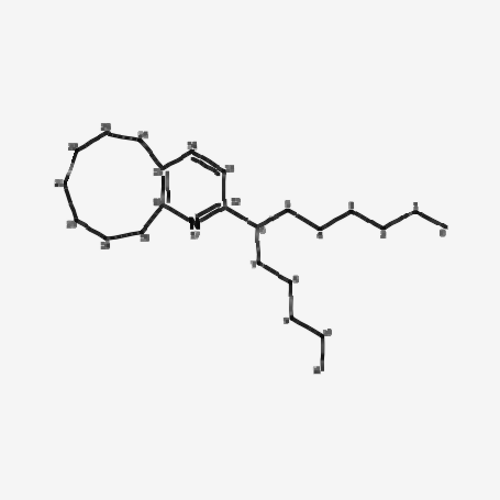 CCCCCCC(CCCCC)c1ccc2c(n1)CCCCCCC2